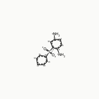 Nc1ccc(N)c(S(=O)(=O)c2ccccc2)c1